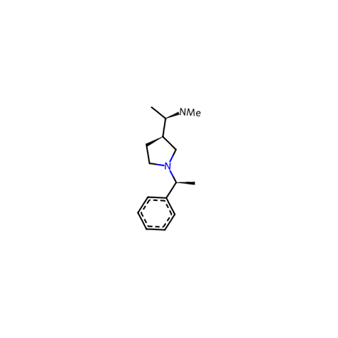 CN[C@H](C)[C@@H]1CCN([C@@H](C)c2ccccc2)C1